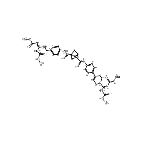 CC(C)(C)OC(=O)/N=C(/NCc1ccc(NC(=O)C23CC(C2)C(C(=O)Nc2cnc(C4=CCN(/C(=N\C(=O)OC(C)(C)C)NC(=O)OC(C)(C)C)CC4)cn2)C3)cc1)NC(=O)OC(C)(C)C